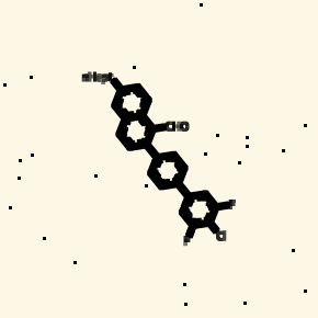 CCCCCCCc1ccc2c(C=O)c(-c3ccc(-c4cc(F)c(Cl)c(F)c4)cc3)ccc2c1